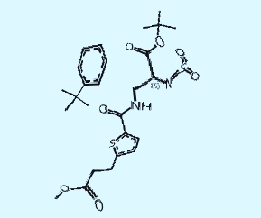 CC(C)(C)c1ccccc1.COC(=O)CCc1ccc(C(=O)NC[C@H](N=S(=O)=O)C(=O)OC(C)(C)C)s1